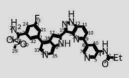 CCC(=O)Nc1cncc(-c2ccc3[nH]nc(-c4cc5c(-c6cc(F)cc(C(N)S(C)(=O)=O)c6)cncc5[nH]4)c3n2)c1